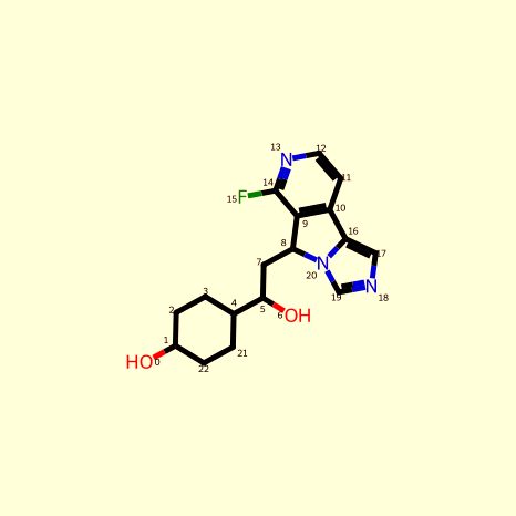 OC1CCC(C(O)CC2c3c(ccnc3F)-c3cncn32)CC1